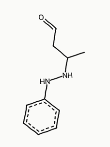 CC(CC=O)NNc1ccccc1